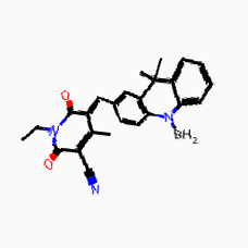 BN1c2ccccc2C(C)(C)c2cc(/C=C3/C(=O)N(CC)C(=O)C(C#N)=C3C)ccc21